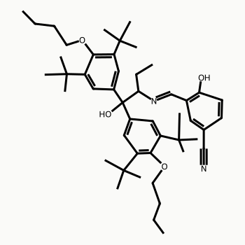 CCCCOc1c(C(C)(C)C)cc(C(O)(c2cc(C(C)(C)C)c(OCCCC)c(C(C)(C)C)c2)C(CC)N=Cc2cc(C#N)ccc2O)cc1C(C)(C)C